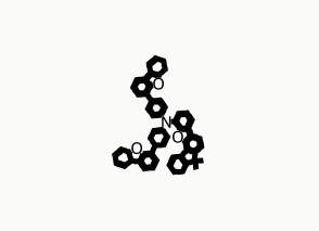 CC1(C)C2=C(C=CCC2)c2c1ccc1c2oc2c(N(C3=CCC(c4cccc5c4OC4C=CC=CC54)C=C3)c3ccc(-c4cccc5c6c(oc45)CCC=C6)cc3)cccc21